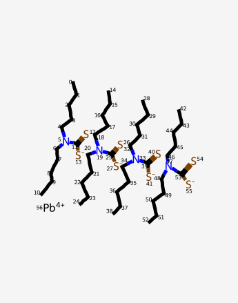 CCCCCN(CCCCC)C(=S)[S-].CCCCCN(CCCCC)C(=S)[S-].CCCCCN(CCCCC)C(=S)[S-].CCCCCN(CCCCC)C(=S)[S-].[Pb+4]